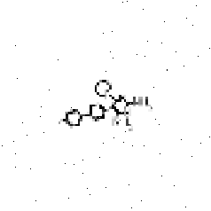 Cc1ccc(-c2ccc(-c3c(N)nc(N)nc3N3CCCCC3)cc2)cc1